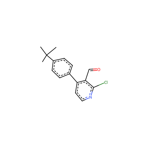 CC(C)(C)c1ccc(-c2ccnc(Cl)c2C=O)cc1